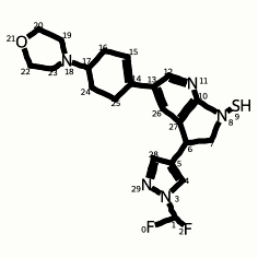 FC(F)n1cc(C2CN(S)c3ncc(C4=CCC(N5CCOCC5)CC4)cc32)cn1